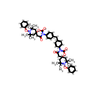 CC1(C)CC2(CC(=O)N(c3ccc(Cc4ccc(N5C(=O)CC6(CC(C)(C)N(Oc7ccccc7)C(C)(C)C6)OC5=O)cc4)cc3)C(=O)O2)CC(C)(C)N1Oc1ccccc1